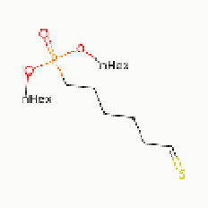 CCCCCCOP(=O)(CCCCCC=S)OCCCCCC